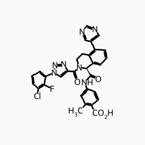 Cc1cc(NC(=O)[C@@H]2c3cccc(-c4cncnc4)c3CCN2C(=O)c2cn(-c3cccc(Cl)c3F)nn2)ccc1C(=O)O